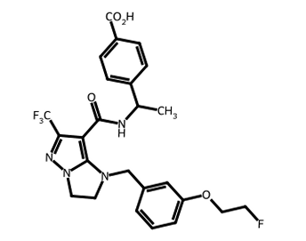 CC(NC(=O)c1c(C(F)(F)F)nn2c1N(Cc1cccc(OCCF)c1)CC2)c1ccc(C(=O)O)cc1